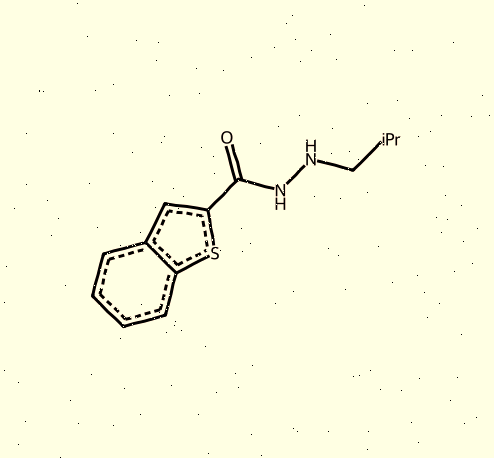 CC(C)CNNC(=O)c1cc2ccccc2s1